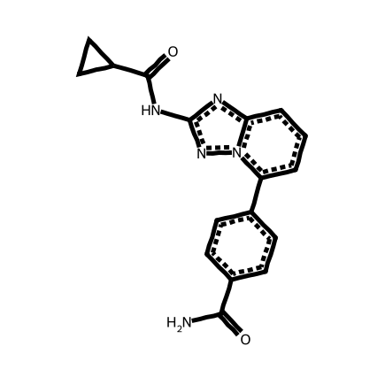 NC(=O)c1ccc(-c2cccc3nc(NC(=O)C4CC4)nn23)cc1